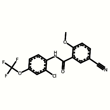 COc1ccc(C#N)cc1C(=O)Nc1ccc(OC(F)(F)F)cc1Cl